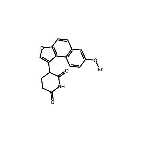 CCOc1ccc2c(ccc3occ(C4CCC(=O)NC4=O)c32)c1